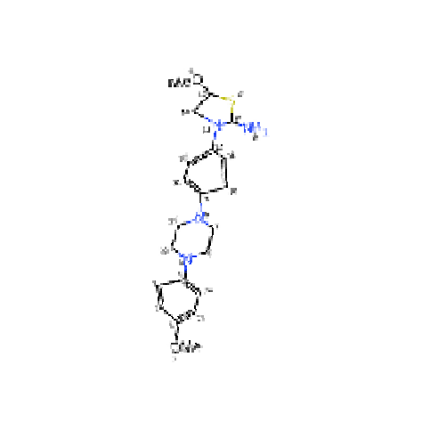 COc1ccc(N2CCN(c3ccc(N4CC(OC)SC4N)cc3)CC2)cc1